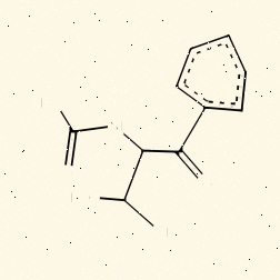 CC(=O)NC(C(=O)c1ccccc1)C(C)C